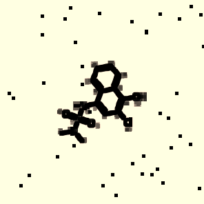 CN(C)S(=O)(=O)Nc1cc(Cl)c(O)c2ccccc12